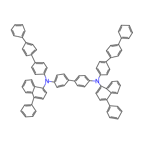 c1ccc(-c2ccc(-c3ccc(N(c4ccc(-c5ccc(N(c6ccc(-c7ccc(-c8ccccc8)cc7)cc6)c6ccc(-c7ccccc7)c7ccccc67)cc5)cc4)c4ccc(-c5ccccc5)c5ccccc45)cc3)cc2)cc1